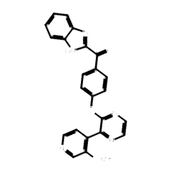 COc1cnccc1-c1nccnc1Oc1ccc(C(=O)c2nc3ccccc3[nH]2)cc1